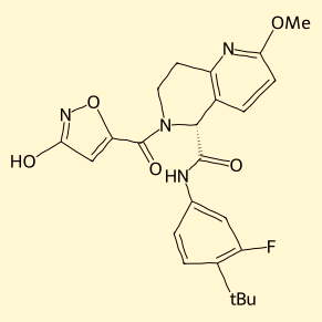 COc1ccc2c(n1)CCN(C(=O)c1cc(O)no1)[C@H]2C(=O)Nc1ccc(C(C)(C)C)c(F)c1